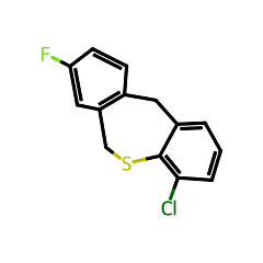 Fc1ccc2c(c1)CSc1c(Cl)cccc1C2